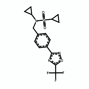 O=S(=O)(C1CC1)N(Cc1ccc(-c2noc(C(F)(F)F)n2)cc1)C1CC1